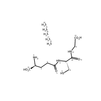 N[C@@H](CCC(=O)N[C@@H](CS)C(=O)NCC(=O)O)C(=O)O.S.S.S.S.S